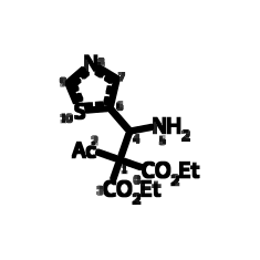 CCOC(=O)C(C(C)=O)(C(=O)OCC)C(N)c1cncs1